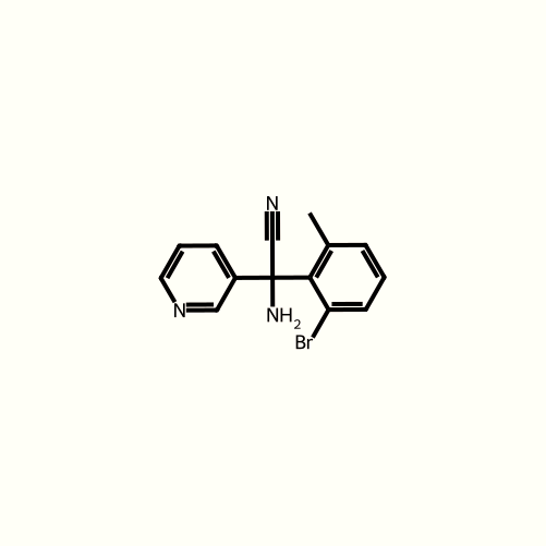 Cc1cccc(Br)c1C(N)(C#N)c1cccnc1